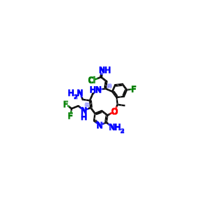 CC1Oc2cc(cnc2N)/C(NCC(F)F)=C(/CN)CN/C(=C\C(=N)Cl)c2ccc(F)cc21